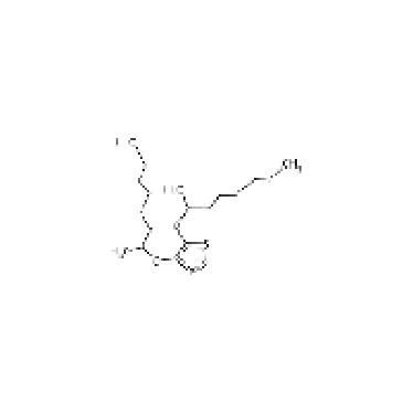 CCCCCCC(C)Oc1ccsc1OC(C)CCCCCC